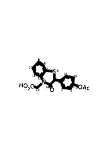 CC(=O)Oc1ccc(C2Sc3ccccc3N(CC(=O)O)C2=O)cc1